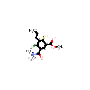 C=CCc1c(S)c(C(=O)OC)cc(C(=O)N(C)C)c1Cl